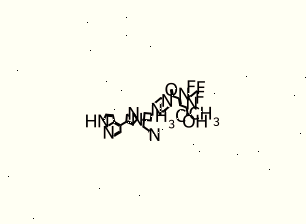 CC(C)(O)c1cc(C(=O)N2CCN(C3CC(CC#N)(n4cc(-c5ccnc6[nH]ccc56)cn4)C3)CC2)nc(C(F)(F)F)n1